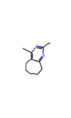 Cc1nc(C)c2c(n1)CCCCC2